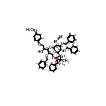 COc1ccc(OCC(O)C(O[C@@H]2O[C@H](COCc3ccccc3)[C@@H](OCc3ccccc3)[C@H](OCc3ccccc3)[C@H]2N=[N+]=[N-])C(CO[Si](C)(C)C(C)(C)C)OCc2ccccc2)cc1